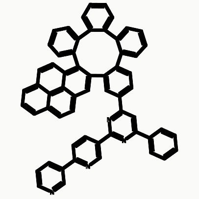 c1ccc(-c2cc(-c3ccc4c5ccccc5c5ccccc5c5ccccc5c5c(cc6ccc7cccc8ccc5c6c78)c4c3)nc(-c3ccc(-c4cccnc4)nc3)n2)cc1